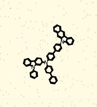 C1=CC(c2ccccc2)CC=C1N(c1ccc(-c2ccc(-n3c4ccccc4c4cc5ccccc5cc43)cc2)cc1)C1C=c2c(c3ccccc3n2-c2ccccc2)=CC1